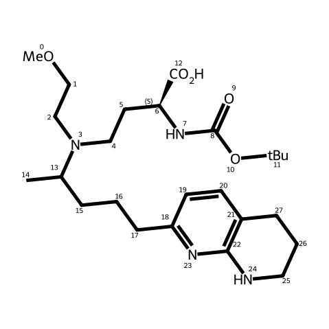 COCCN(CC[C@H](NC(=O)OC(C)(C)C)C(=O)O)C(C)CCCc1ccc2c(n1)NCCC2